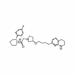 O=C(O)[C@H](c1cc(F)ccc1[C@@H]1CCCCO1)N1CC[C@@H](OCCCCc2ccc3c(n2)NCCC3)C1